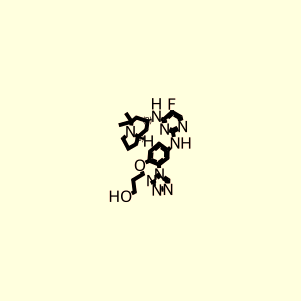 CC1(C)C[C@H](Nc2nc(Nc3ccc(OCCCO)c(-n4cnnn4)c3)ncc2F)C[C@@H]2CCCN21